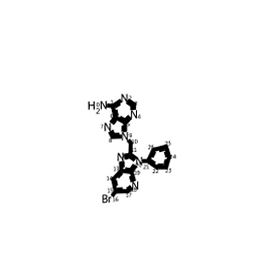 Nc1ncnc2c1ncn2Cc1nc2cc(Br)cnc2n1-c1ccccc1